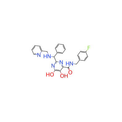 O=C(NCc1ccc(F)cc1)c1nc(C(NCc2ccccn2)c2ccccc2)nc(O)c1O